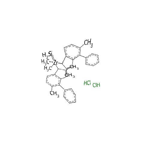 CC1=Cc2c(ccc(C)c2-c2ccccc2)[CH]1[Zr]([CH3])([CH3])(=[SiH2])[CH]1C(C)=Cc2c1ccc(C)c2-c1ccccc1.Cl.Cl